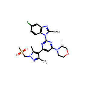 CNc1nc2cc(F)ccc2n1-c1nc(-c2c(C(F)(F)F)nn(CS(C)(=O)=O)c2C)cc(N2CCOC[C@H]2C)n1